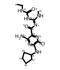 CCNC(=O)N/C(=N\C(=O)c1nc(Cl)c(NC2CCCC2)nc1N)NC